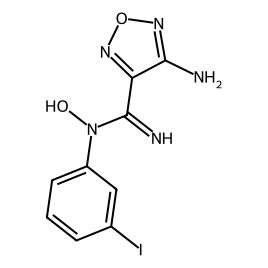 N=C(c1nonc1N)N(O)c1cccc(I)c1